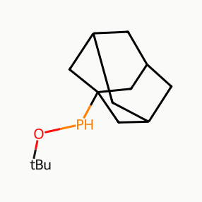 CC(C)(C)OPC12CC3CC(CC(C3)C1)C2